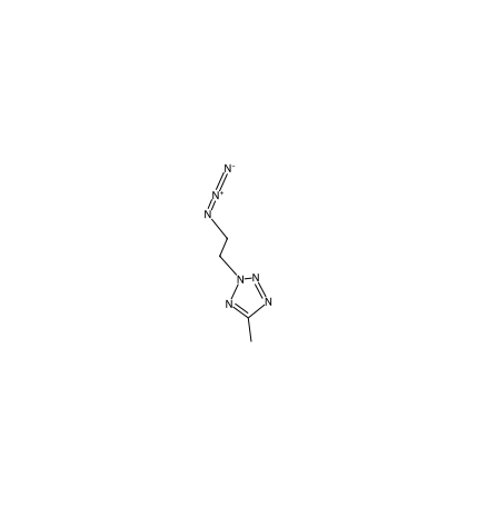 Cc1nnn(CCN=[N+]=[N-])n1